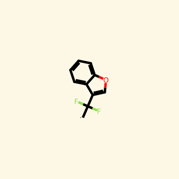 [CH2]C(F)(F)c1coc2ccccc12